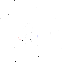 N[C@@H](Cc1ccc(O)c(O)c1)C(=O)O.c1ccc2occc2c1